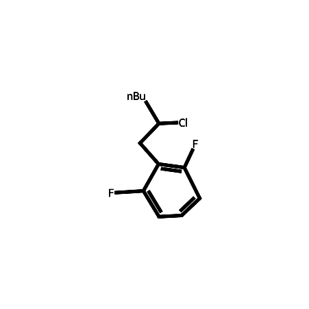 CCCCC(Cl)Cc1c(F)cccc1F